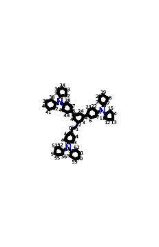 C(=C\c1cc(-c2ccc(N(c3ccccc3)c3ccccc3)cc2)cc(-c2ccc(N(c3ccccc3)c3ccccc3)cc2)c1)/c1ccc(N(c2ccccc2)c2ccccc2)cc1